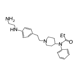 CCC(=O)N(c1ccccc1)C1CCN(CCc2ccc(NCCN)cc2)CC1